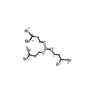 BrC(Br)CCOP(OCCC(Br)Br)OCCC(Br)Br